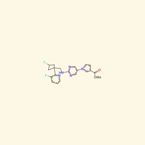 COC(=O)c1ccn(-c2cnc(NCC3(c4ncccc4F)CC(F)C3)nc2)c1